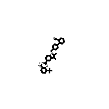 Cc1c(C)n(Cc2ccc(-c3ccccc3C#N)cc2)c2ccc(C(=O)N[C@@H](C)c3cccc(C(C)(C)C)c3)cc12